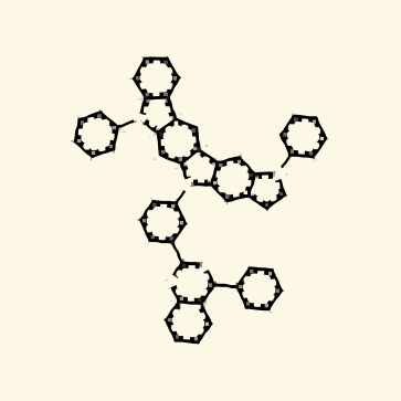 c1ccc(-c2nc(-c3cccc(-n4c5cc6ccn(-c7ccccc7)c6cc5c5cc6c7ccccc7n(-c7ccccc7)c6cc54)c3)nc3ccccc23)cc1